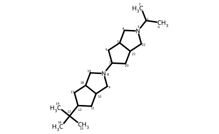 CC(C)N1CC2CC(N3CC4CC(C(C)(C)C)CC4C3)CC2C1